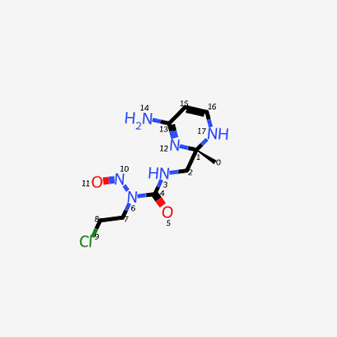 C[C@@]1(CNC(=O)N(CCCl)N=O)N=C(N)C=CN1